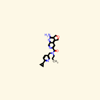 CCCN(Cc1ccc(C2CC2)nc1)C(=O)c1cc2c3c(c(N)nc2cn1)COC3